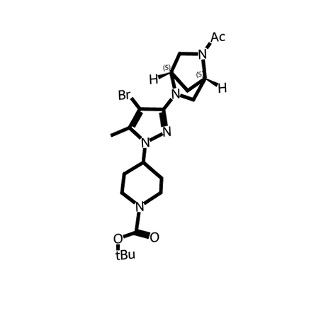 CC(=O)N1C[C@@H]2C[C@H]1CN2c1nn(C2CCN(C(=O)OC(C)(C)C)CC2)c(C)c1Br